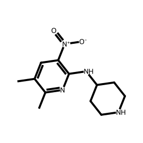 Cc1cc([N+](=O)[O-])c(NC2CCNCC2)nc1C